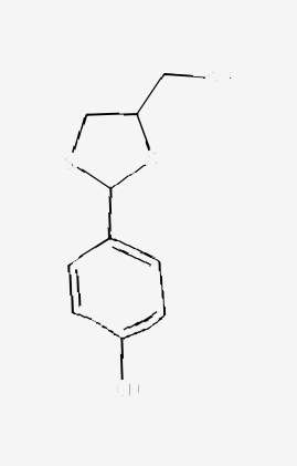 Cc1ccc(C2SCC(CS)S2)cc1